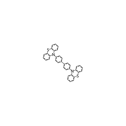 c1ccc2c(c1)Sc1ccccc1N2c1ccc(-c2ccc(N3c4ccccc4Sc4ccccc43)cc2)cc1